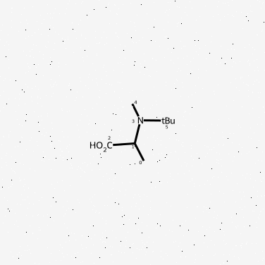 CC(C(=O)O)N(C)C(C)(C)C